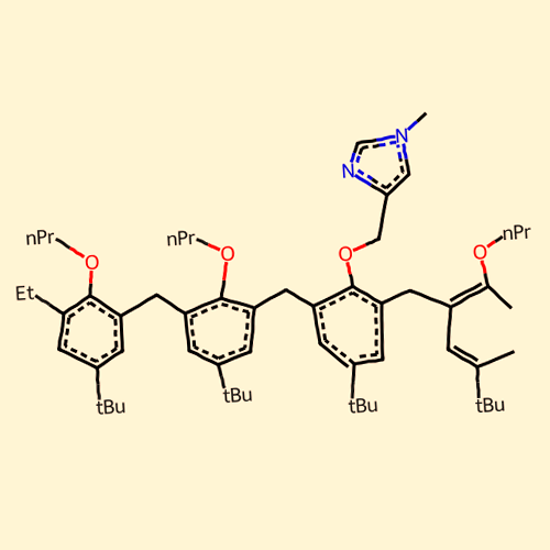 CCCO/C(C)=C(/C=C(\C)C(C)(C)C)Cc1cc(C(C)(C)C)cc(Cc2cc(C(C)(C)C)cc(Cc3cc(C(C)(C)C)cc(CC)c3OCCC)c2OCCC)c1OCc1cn(C)cn1